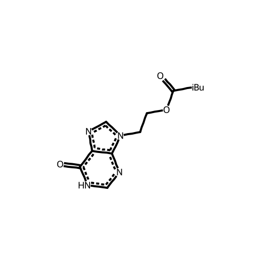 CCC(C)C(=O)OCCn1cnc2c(=O)[nH]cnc21